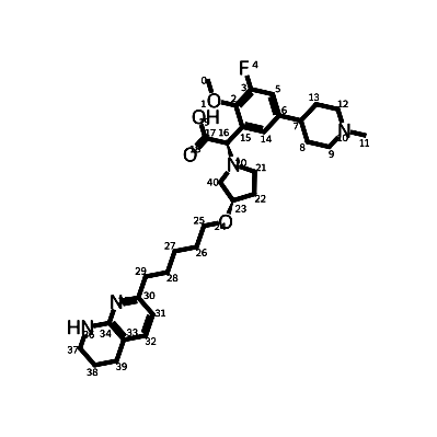 COc1c(F)cc(C2CCN(C)CC2)cc1[C@H](C(=O)O)N1CC[C@@H](OCCCCCc2ccc3c(n2)NCCC3)C1